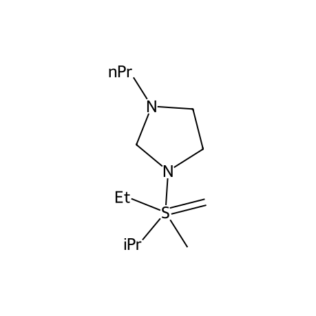 C=S(C)(CC)(C(C)C)N1CCN(CCC)C1